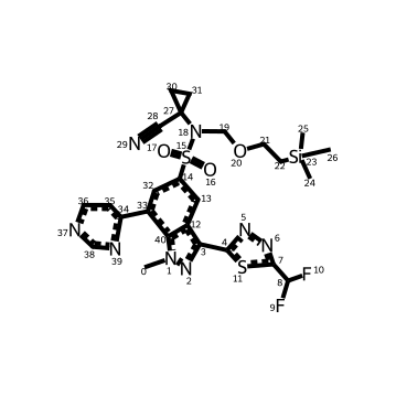 Cn1nc(-c2nnc(C(F)F)s2)c2cc(S(=O)(=O)N(COCC[Si](C)(C)C)C3(C#N)CC3)cc(-c3ccncn3)c21